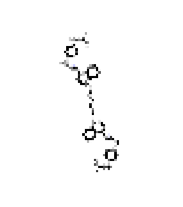 CC(=O)Nc1ccc(N(C)/N=C/c2cc[n+](CCCCCC[n+]3ccc(/C=N/N(C)c4ccc(NC(C)=O)cc4)c4ccccc43)c3ccccc23)cc1